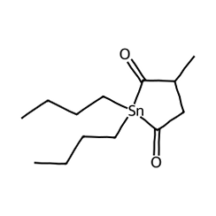 CCC[CH2][Sn]1([CH2]CCC)[C](=O)CC(C)[C]1=O